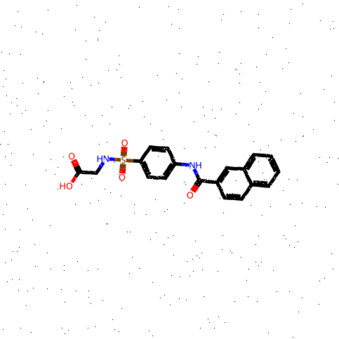 O=C(O)CNS(=O)(=O)c1ccc(NC(=O)c2ccc3ccccc3c2)cc1